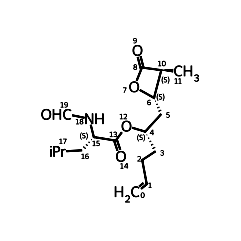 C=CCC[C@@H](C[C@@H]1OC(=O)[C@H]1C)OC(=O)[C@H](CC(C)C)NC=O